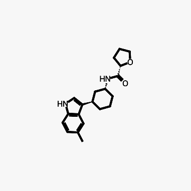 Cc1ccc2[nH]cc([C@@H]3CCC[C@@H](NC(=O)[C@@H]4CCCO4)C3)c2c1